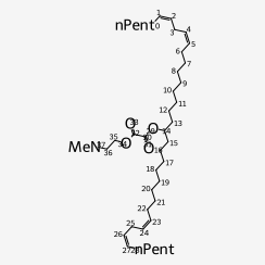 CCCCC/C=C\C/C=C\CCCCCCCCC(CCCCCCCC/C=C\C/C=C\CCCCC)OC(=O)C(=O)OCCNC